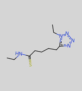 CCNC(=S)CCCCc1nnnn1CC